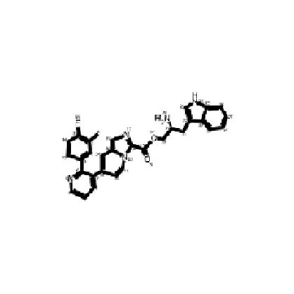 Cc1cc(-c2ncccc2-c2ccn3c(C(=O)OC[C@@H](N)Cc4c[nH]c5ccccc45)ncc3c2)ccc1F